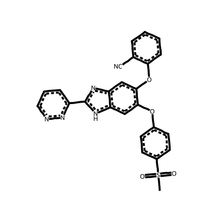 CS(=O)(=O)c1ccc(Oc2cc3[nH]c(-c4cccnn4)nc3cc2Oc2ccccc2C#N)cc1